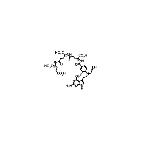 C#CCN(CCc1c[nH]c2nc(N)nc(O)c12)c1ccc(C(=O)N[C@@H](CCC(=O)N[C@@H](CCC(=O)N[C@@H](CCC(=O)O)C(=O)O)C(=O)O)C(=O)O)cc1F